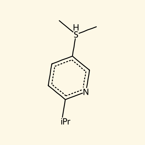 CC(C)c1ccc([SH](C)C)cn1